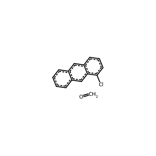 C=O.Clc1cccc2cc3ccccc3cc12